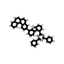 c1ccc(-c2nc(-c3ccccc3)nc(-c3cccc4oc5c(-c6ccc7c(ccc8ccc9ccccc9c87)c6)cccc5c34)n2)cc1